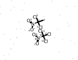 CC(Cl)(Cl)[N+](=O)[O-].O=[N+]([O-])C(Cl)(Cl)Cl